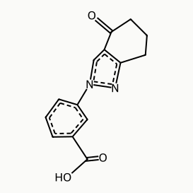 O=C(O)c1cccc(-n2cc3c(n2)CCCC3=O)c1